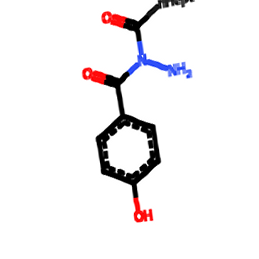 CCCCCCCC(=O)N(N)C(=O)c1ccc(O)cc1